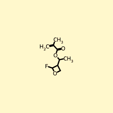 C=C(C)C(=O)OC(C)C1COC1F